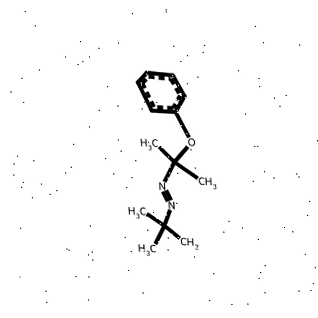 CC(C)(C)/N=N/C(C)(C)Oc1ccccc1